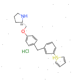 C1=C[SH](c2cccc(Cc3ccc(OC[C@@H]4CCCN4)cc3)c2)C=C1.Cl